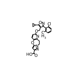 Cc1cccc(Cl)c1-c1noc(C2CC2)c1COc1ccc2c(n1)CCn1nc(C(=O)O)cc1O2